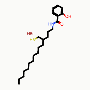 Br.CCCCCCCCCCCC(CS)CCCNC(=O)c1ccccc1O